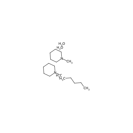 CCCCC.CN1CCCCC1.CN1CCCCC1.O.O